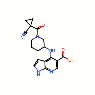 N#CC1(C(=O)N2CCCC(Nc3c(C(=O)O)cnc4[nH]ccc34)C2)CC1